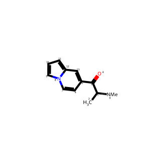 CNC(C)C(=O)c1ccn2cccc2c1